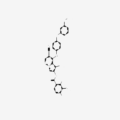 COc1cccc(Oc2ccc(Nc3c(C#N)cnn4cc(NC(=O)c5ccc(C)c(N)c5C)c(C)c34)cc2)c1